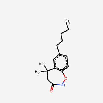 CCCCCc1ccc2c(c1)C(C)(C)CC(=O)NO2